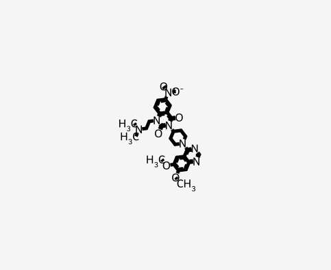 COc1cc2ncnc(N3CCC(n4c(=O)c5cc([N+](=O)[O-])ccc5n(CCN(C)C)c4=O)CC3)c2cc1OC